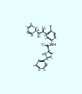 Cc1ccc(NC(=O)c2ccc(-c3ccccn3)s2)cc1C(=O)Nc1cccnc1